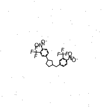 O=[N+]([O-])c1ccc(CC2CCC(c3ccc([N+](=O)[O-])c(C(F)(F)F)c3)C2)cc1C(F)(F)F